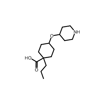 CCCC1(C(=O)O)CCC(OC2CCNCC2)CC1